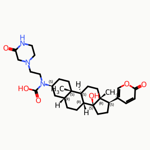 C[C@]12CC[C@H](N(CCN3CCNC(=O)C3)C(=O)O)C[C@H]1CC[C@@H]1[C@@H]2CC[C@]2(C)[C@@H](c3ccc(=O)oc3)CC[C@]12O